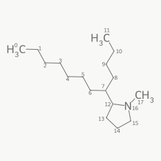 CCCCCCCC(CCCC)C1CCCN1C